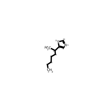 CCCCCC(C)c1cncs1